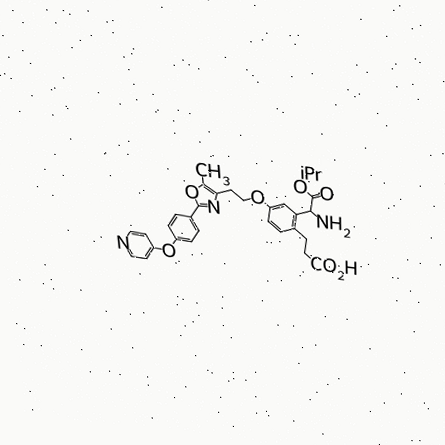 Cc1oc(-c2ccc(Oc3ccncc3)cc2)nc1CCOc1ccc(CCC(=O)O)c(C(N)C(=O)OC(C)C)c1